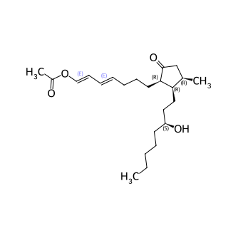 CCCCC[C@H](O)CC[C@@H]1[C@H](C)CC(=O)[C@@H]1CCC/C=C/C=C/OC(C)=O